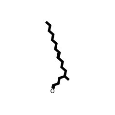 CCCCCCC/C=C/CCCC(C)CCC=O